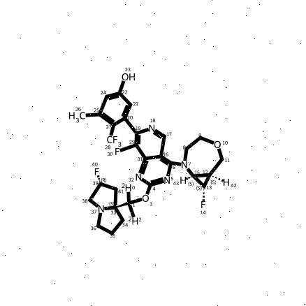 [2H]C([2H])(Oc1nc(N2CCOC[C@H]3[C@H](F)[C@H]32)c2cnc(-c3cc(O)cc(C)c3C(F)(F)F)c(F)c2n1)[C@@]12CCCN1C[C@H](F)C2